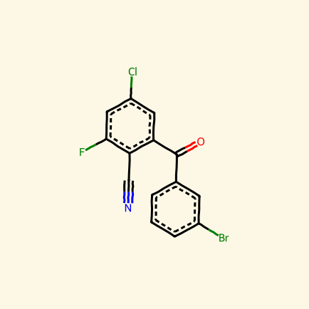 N#Cc1c(F)cc(Cl)cc1C(=O)c1cccc(Br)c1